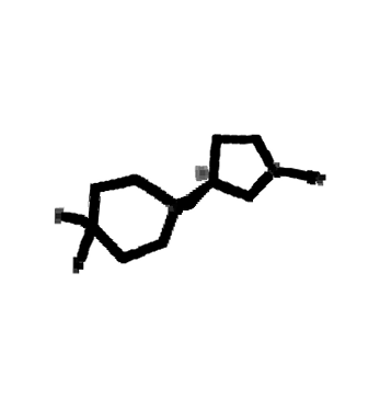 CC(C)N1CC[C@H](N2CCC(F)(F)CC2)C1